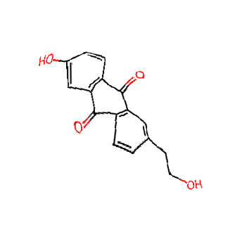 O=C1c2ccc(CCO)cc2C(=O)c2ccc(O)cc21